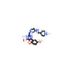 O=c1[nH]c(CN2CCC(NCC3CCNCC3)C2)nc2c1oc1ccc(Br)cc12